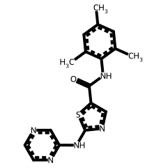 Cc1cc(C)c(NC(=O)c2cnc(Nc3cnccn3)s2)c(C)c1